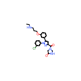 CCNCCCOc1cccc(-c2cc(C(=O)N3CNC(=O)C3)nn2-c2cccc(Cl)c2)c1